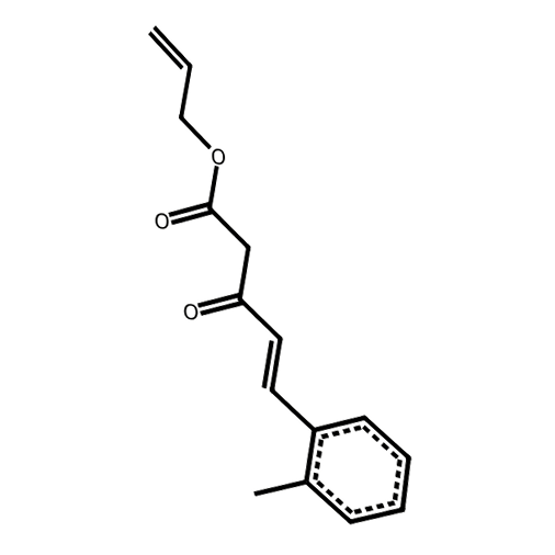 C=CCOC(=O)CC(=O)C=Cc1ccccc1C